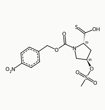 CS(=O)(=O)O[C@@H]1C[C@@H](C(O)=S)N(C(=O)OCc2ccc([N+](=O)[O-])cc2)C1